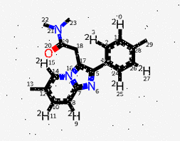 [2H]c1c([2H])c(-c2nc3c([2H])c([2H])c(C)c([2H])n3c2CC(=O)N(C)C)c([2H])c([2H])c1C